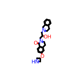 O=C1c2ccc(OC3CNC3)cc2CCN1C[C@H](O)CN1CCc2ccccc2C1